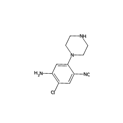 [C-]#[N+]c1cc(Cl)c(N)cc1N1CCNCC1